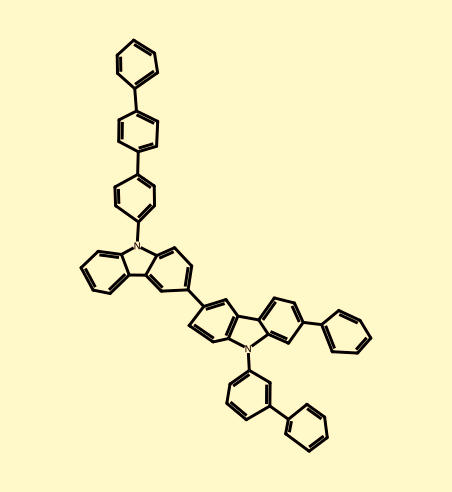 c1ccc(-c2ccc(-c3ccc(-n4c5ccccc5c5cc(-c6ccc7c(c6)c6ccc(-c8ccccc8)cc6n7-c6cccc(-c7ccccc7)c6)ccc54)cc3)cc2)cc1